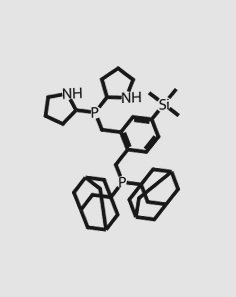 C[Si](C)(C)c1ccc(CP(C23CC4CC(CC(C4)C2)C3)C23CC4CC(CC(C4)C2)C3)c(CP(C2CCCN2)C2CCCN2)c1